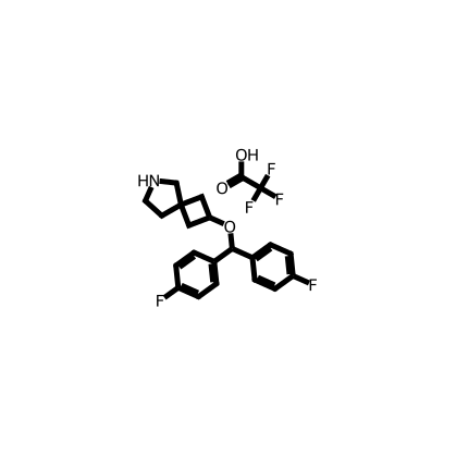 Fc1ccc(C(OC2CC3(CCNC3)C2)c2ccc(F)cc2)cc1.O=C(O)C(F)(F)F